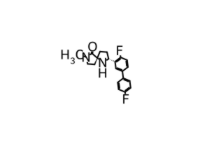 CN1CC[C@]2(CC[C@H](c3cc(-c4ccc(F)cc4)ccc3F)N2)C1=O